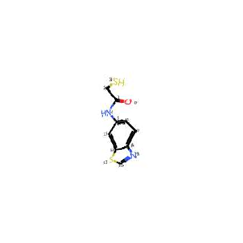 O=C(CS)Nc1ccc2ncsc2c1